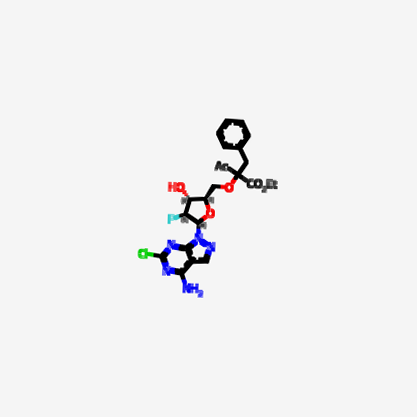 CCOC(=O)C(Cc1ccccc1)(OC[C@H]1O[C@@H](n2ncc3c(N)nc(Cl)nc32)[C@@H](F)[C@@H]1O)C(C)=O